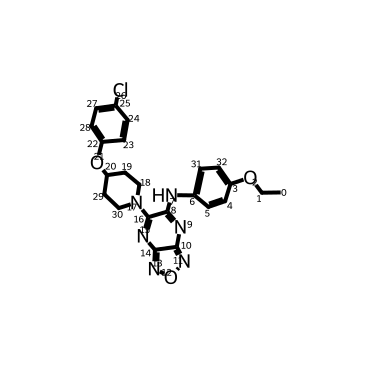 CCOc1ccc(Nc2nc3nonc3nc2N2CCC(Oc3ccc(Cl)cc3)CC2)cc1